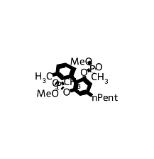 CCCCCc1cc(OP(C)(=O)OC)c(-c2cccc(C)c2)c(OP(C)(=O)OC)c1